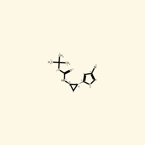 CC(C)(C)OC(=O)N[C@@H]1C[C@H]1c1cc(Br)cs1